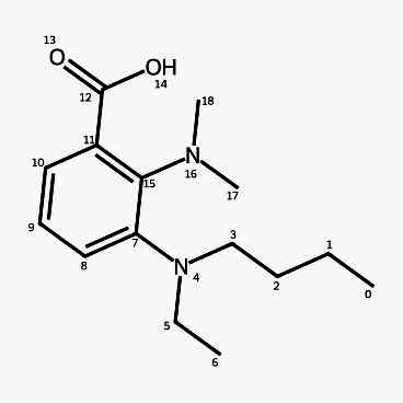 CCCCN(CC)c1cccc(C(=O)O)c1N(C)C